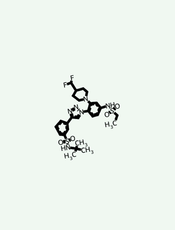 CCS(=O)(=O)Nc1ccc(-n2cc(-c3cccc(S(=O)(=O)NC(C)(C)C)c3)nn2)c(N2CCC(C(F)F)CC2)c1